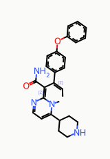 C/C=C(\C(C(N)=O)=C1\N=CC=C(C2CCNCC2)N1C)c1ccc(Oc2ccccc2)cc1